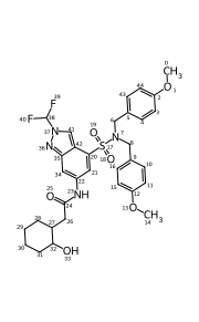 COc1ccc(CN(Cc2ccc(OC)cc2)S(=O)(=O)c2cc(NC(=O)CC3CCCCC3O)cc3nn(C(F)F)cc23)cc1